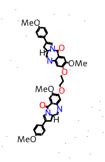 COc1ccc(C2=CN3C(=O)c4cc(OC)c(OCCCOc5cc6c(cc5OC)C(=O)N5C=C(c7ccc(OC)cc7)C[C@@H]5C=N6)cc4N=C[C@@H]3C2)cc1